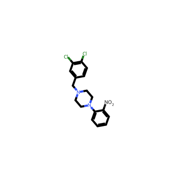 O=[N+]([O-])c1ccccc1N1CCN(Cc2ccc(Cl)c(Cl)c2)CC1